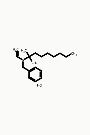 C=CN(Cc1ccccc1)C(C)(C)CCCCCCC.Cl